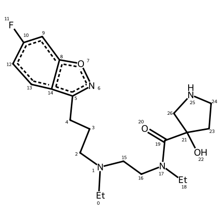 CCN(CCCc1noc2cc(F)ccc12)CCN(CC)C(=O)C1(O)CCNC1